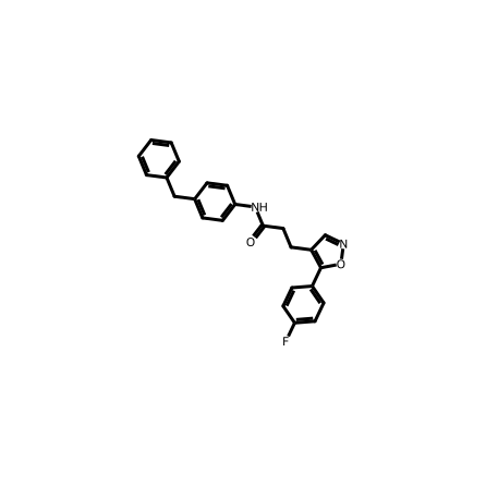 O=C(CCc1cnoc1-c1ccc(F)cc1)Nc1ccc(Cc2ccccc2)cc1